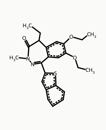 CCOc1cc2c(cc1OCC)C(CC)C(=O)N(C)N=C2c1cc2ccccc2s1